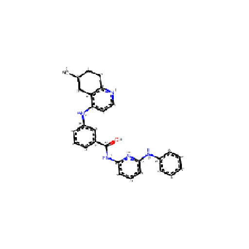 N#CC1CCc2nccc(Nc3cccc(C(=O)Nc4cccc(Nc5ccccc5)n4)c3)c2C1